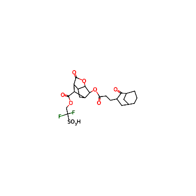 O=C(CCC1CC2CCCC(C2)C1=O)OC1C2CC3C1OC(=O)C3C2C(=O)OCC(F)(F)S(=O)(=O)O